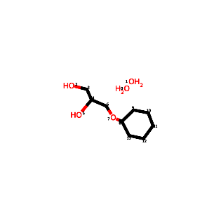 O.O.OCC(O)COC1CCCCC1